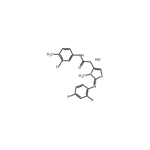 Cc1ccc(NC(=O)Cc2cs/c(=N/c3ccc(F)cc3F)n2C)cc1Cl.Cl